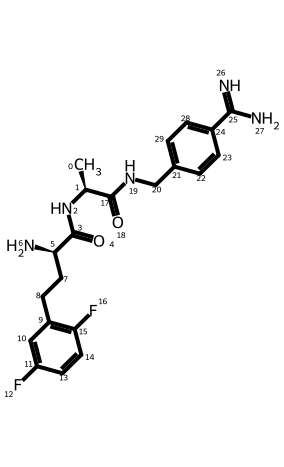 C[C@H](NC(=O)[C@H](N)CCc1cc(F)ccc1F)C(=O)NCc1ccc(C(=N)N)cc1